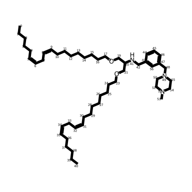 CCCCC/C=C\C/C=C\CCCCCCCCOCC(COCCCCCCCC/C=C\C/C=C\CCCCC)NCc1cccc(CN2CCN(C)CC2)c1